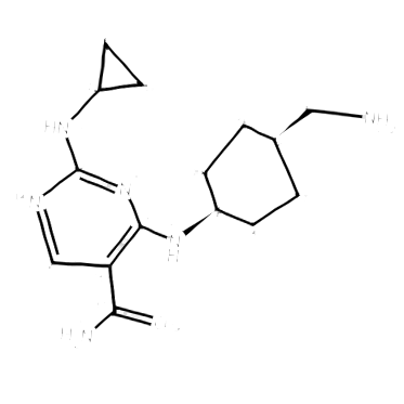 NC[C@H]1CC[C@@H](Nc2nc(NC3CC3)ncc2C(N)=O)CC1